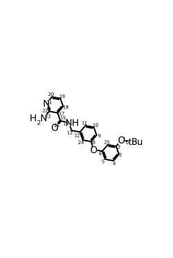 CC(C)(C)Oc1cccc(Oc2cccc(CNC(=O)c3cccnc3N)c2)c1